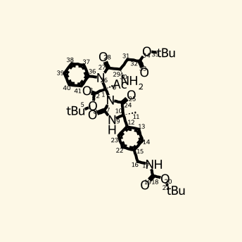 CC(=O)[C@@](C(=O)OC(C)(C)C)(N1C(=O)N[C@](C)(c2ccc(CNC(=O)OC(C)(C)C)cc2)C1=O)N(C(=O)[C@@H](N)CC(=O)OC(C)(C)C)c1ccccc1